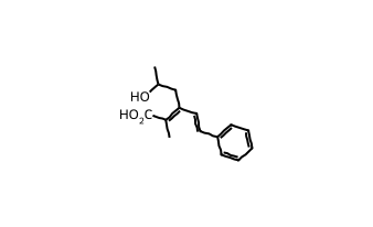 CC(C(=O)O)=C(C=Cc1ccccc1)CC(C)O